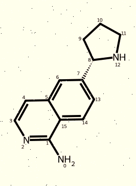 Nc1nccc2cc([C@@H]3CCCN3)ccc12